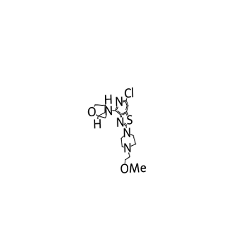 COCCN1CCN(c2nc3c(N4C[C@H]5C[C@@H]4CO5)nc(Cl)cc3s2)CC1